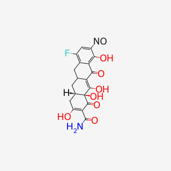 NC(=O)C1=C(O)C[C@@H]2CC3Cc4c(F)cc(N=O)c(O)c4C(=O)C3=C(O)[C@]2(O)C1=O